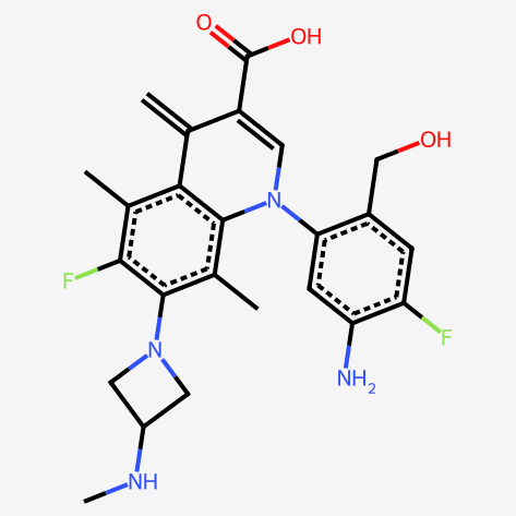 C=C1C(C(=O)O)=CN(c2cc(N)c(F)cc2CO)c2c(C)c(N3CC(NC)C3)c(F)c(C)c21